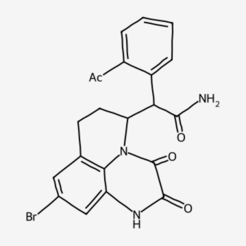 CC(=O)c1ccccc1C(C(N)=O)C1CCc2cc(Br)cc3[nH]c(=O)c(=O)n1c23